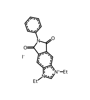 CCn1c[n+](CC)c2cc3c(cc21)C(=O)N(c1ccccc1)C3=O.[I-]